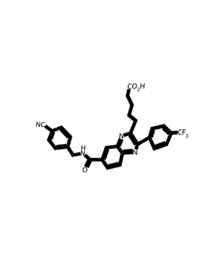 N#Cc1ccc(CNC(=O)c2ccc3nc(-c4ccc(C(F)(F)F)cc4)c(CCCCC(=O)O)nc3c2)cc1